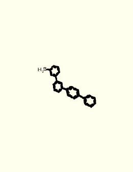 Bc1cccc(-c2cccc(-c3ccc(-c4ccccc4)cc3)c2)c1